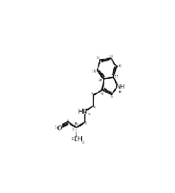 C[C@H](C=O)CNCCc1c[nH]c2ccccc12